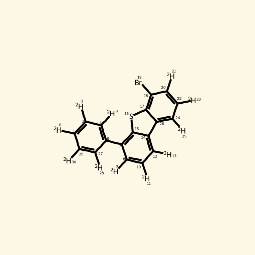 [2H]c1c([2H])c([2H])c(-c2c([2H])c([2H])c([2H])c3c2sc2c(Br)c([2H])c([2H])c([2H])c23)c([2H])c1[2H]